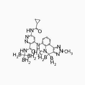 BC(B)(B)NC(=O)c1nnc(NC(=O)C2CC2)cc1Nc1cccc2c1N(C)C(B)(B)c1nn(C)nc1-2